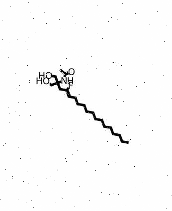 CCCCCCCCCCCCCC=C(F)CC(CO)(CO)NC(C)=O